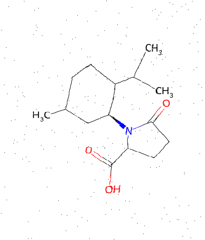 CC1CCC(C(C)C)[C@@H](N2C(=O)CCC2C(=O)O)C1